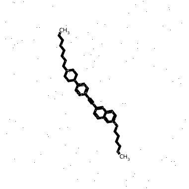 CCCCCCCCC1CCC(c2ccc(C#Cc3ccc4cc(CCCCCCC)ccc4c3)cc2)CC1